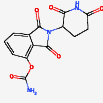 NC(=O)Oc1cccc2c1C(=O)N(C1CCC(=O)NC1=O)C2=O